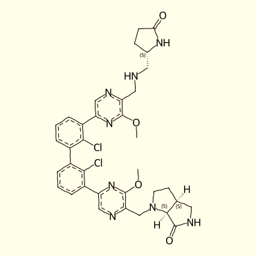 COc1nc(-c2cccc(-c3cccc(-c4cnc(CN5CC[C@H]6CNC(=O)[C@H]65)c(OC)n4)c3Cl)c2Cl)cnc1CNC[C@@H]1CCC(=O)N1